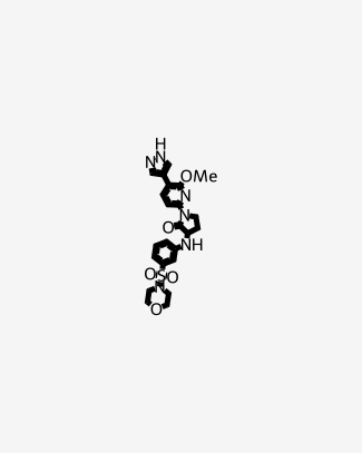 COc1nc(N2CCC(Nc3cccc(S(=O)(=O)N4CCOCC4)c3)C2=O)ccc1-c1cn[nH]c1